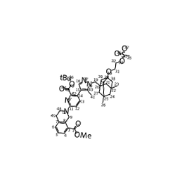 COC(=O)c1cccc2c1CN(c1ccc(-c3cnn(CC45CC6(C)CC(C)(C4)CC(OCCOS(C)(=O)=O)(C6)C5)c3C)c(C(=O)OC(C)(C)C)n1)CC2